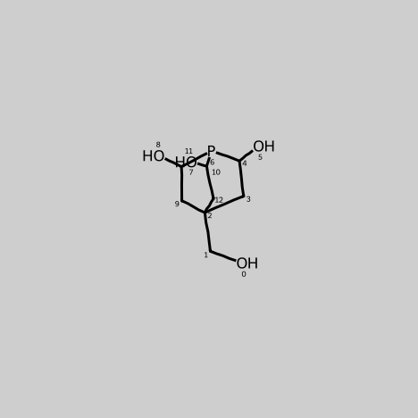 OCC12CC(O)P(C(O)C1)C(O)C2